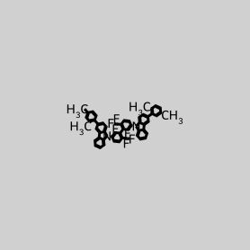 Cc1ccc(-c2ccc3c(c2)c2ccccc2n3-c2ccc(C(F)(F)F)c(-c3cc(-n4c5ccccc5c5cc(-c6cc(C)ccc6C)ccc54)ccc3C(F)(F)F)c2)c(C)c1